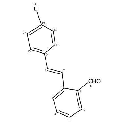 O=Cc1ccccc1/C=C/c1ccc(Cl)cc1